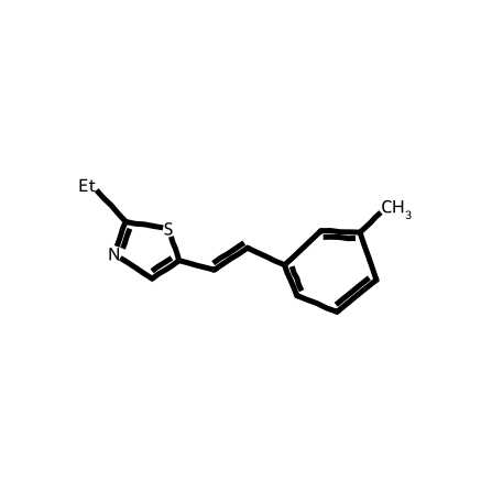 CCc1ncc(/C=C/c2cccc(C)c2)s1